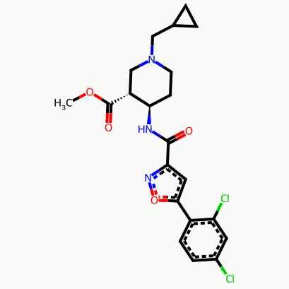 COC(=O)[C@@H]1CN(CC2CC2)CC[C@H]1NC(=O)c1cc(-c2ccc(Cl)cc2Cl)on1